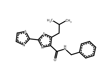 CC(C)Cc1sc(-c2nccs2)nc1C(=O)NCc1ccccc1